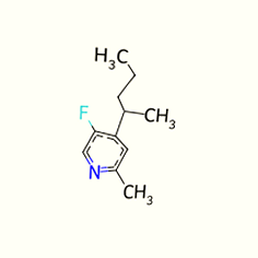 CCCC(C)c1cc(C)ncc1F